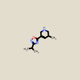 CC1C=C(c2nc(C(C)C)no2)CNC1